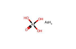 O=[As](O)(O)O.[AsH3]